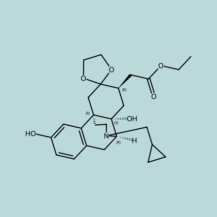 CCOC(=O)C[C@H]1C[C@@]2(O)[C@H]3Cc4ccc(O)cc4[C@@]2(CCN3CC2CC2)CC12OCCO2